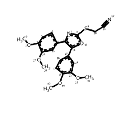 COc1ccc(-c2nc(SCC#N)oc2-c2ccc(OC)c(OC)c2)cc1OC